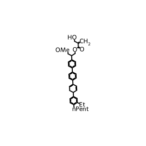 C=C(CO)C(=O)OCC(COC)c1ccc(-c2ccc(C3=CCC(c4ccc(CCCCC)c(CC)c4)C=C3)cc2)cc1